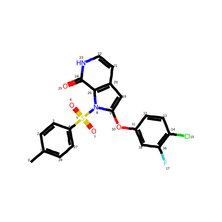 Cc1ccc(S(=O)(=O)n2c(Oc3ccc(Cl)c(F)c3)cc3cc[nH]c(=O)c32)cc1